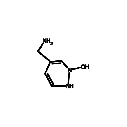 NCC1=CN(O)NC=C1